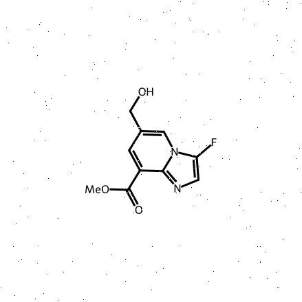 COC(=O)c1cc(CO)cn2c(F)cnc12